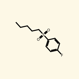 CCCCCS(=O)(=O)c1ccc(F)cc1